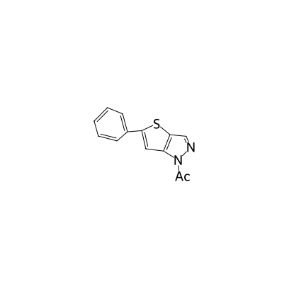 CC(=O)n1ncc2sc(-c3ccccc3)cc21